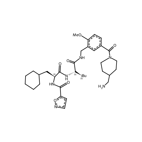 CC[C@H](C)[C@H](NC(=O)[C@H](CC1CCCCC1)NC(=O)c1ccno1)C(=O)NCc1cc(C(=O)N2CCC(CN)CC2)ccc1OC